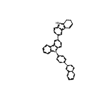 C1=Cc2c([nH]c3ccc(-c4ccc5c(c4)c4ccccc4n5-c4ccc(-c5ccc6ccccc6c5)cc4)cc23)CC1